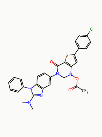 CN(C)c1nc2cc(N3CN(OC(=O)C(F)(F)F)c4cc(-c5ccc(Cl)cc5)sc4C3=O)ccc2n1-c1ccccc1